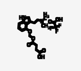 CN(C)CCc1c[nH]c2cccc(OCOC(=O)CCC(=O)O)c12.O=C(O)C(F)(F)F